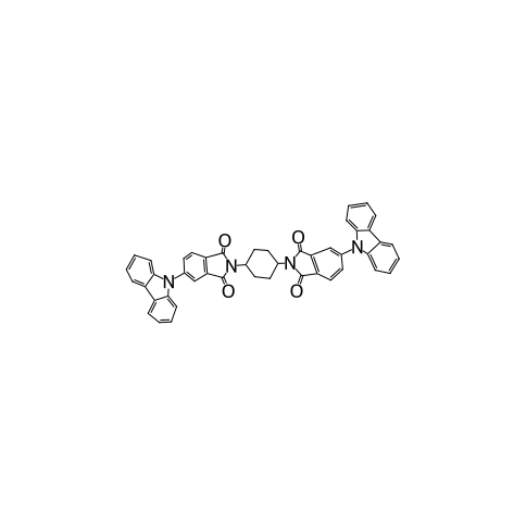 O=C1c2ccc(-n3c4ccccc4c4ccccc43)cc2C(=O)N1C1CCC(N2C(=O)c3ccc(-n4c5ccccc5c5ccccc54)cc3C2=O)CC1